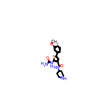 COc1cccc(-c2cc(C(=O)NC3CCNCC3)c(NC(N)=O)s2)c1